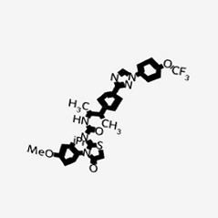 COc1ccc(N2C(=O)CS/C2=N\C(=O)NC(C)C(C)c2ccc(-c3ncn(-c4ccc(OC(F)(F)F)cc4)n3)cc2)c(C(C)C)c1